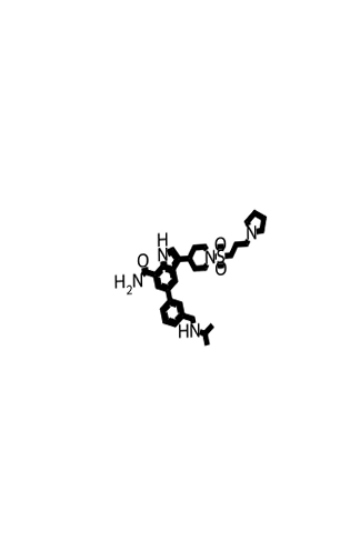 CC(C)NCc1cccc(-c2cc(C(N)=O)c3[nH]cc(C4CCN(S(=O)(=O)CCCN5CCCC5)CC4)c3c2)c1